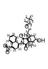 CC(C)(C)[Si](C)(C)OCCC12C[C@@H](O)[C@@](C)(O1)[C@H]1C(=O)N(c3ccc([N+](=O)[O-])c4ccccc34)C(=O)[C@H]12